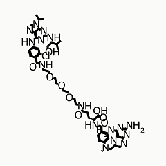 CC(C)C(CO)Nc1nc(Nc2ccc(C(=O)NCCOCCOCCOCCNC(=O)CC[C@H](NC(=O)c3ccc(N(C)Cc4cnc5nc(N)nc(N)c5n4)cc3)C(=O)O)c(Cl)c2)c2ncn(C(C)C)c2n1